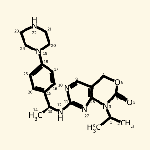 CC(C)N1C(=O)OCc2cnc(N[C@@H](C)c3ccc(N4CCNCC4)cc3)nc21